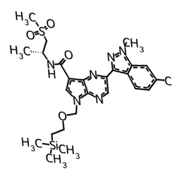 C[C@H](CS(C)(=O)=O)NC(=O)c1cn(COCC[Si](C)(C)C)c2ncc(-c3nn(C)c4cc(Cl)ccc34)nc12